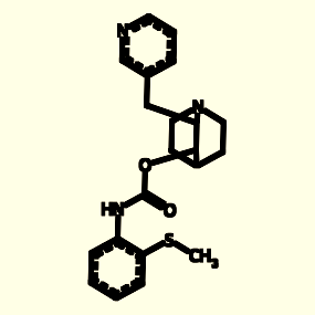 CSc1ccccc1NC(=O)OC1C2CCN(CC2)C1Cc1cccnc1